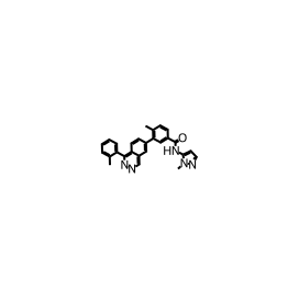 Cc1ccc(C(=O)Nc2ccnn2C)cc1-c1ccc2c(-c3ccccc3C)nncc2c1